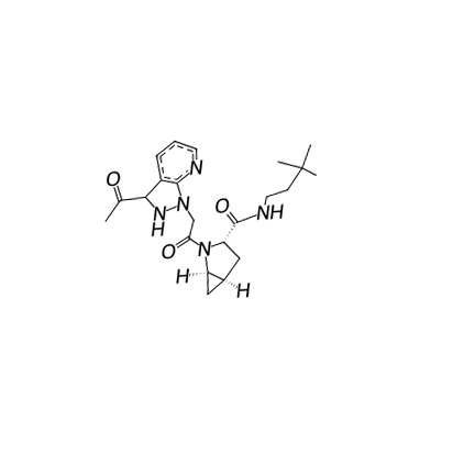 CC(=O)C1NN(CC(=O)N2[C@@H]3C[C@@H]3C[C@H]2C(=O)NCCC(C)(C)C)c2ncccc21